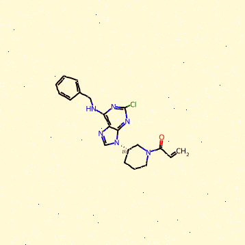 C=CC(=O)N1CCC[C@H](n2cnc3c(NCc4ccccc4)nc(Cl)nc32)C1